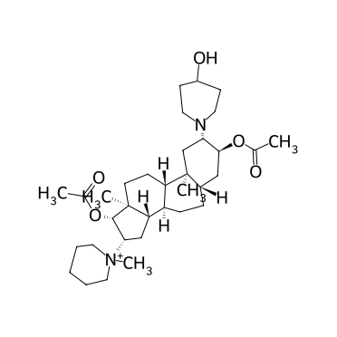 CC(=O)O[C@H]1C[C@@H]2CC[C@@H]3[C@H](CC[C@@]4(C)[C@H]3C[C@H]([N+]3(C)CCCCC3)[C@@H]4OC(C)=O)[C@@]2(C)C[C@@H]1N1CCC(O)CC1